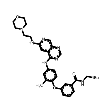 Cc1cc(Nc2ncnc3cnc(NCCN4CCOCC4)cc23)ccc1Oc1cccc(C(=O)NCC(C)(C)C)c1